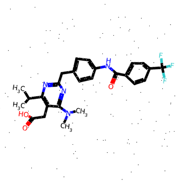 CC(C)c1nc(Cc2ccc(NC(=O)c3ccc(C(F)(F)F)cc3)cc2)nc(N(C)C)c1CC(=O)O